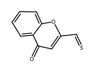 O=c1cc(C=S)oc2ccccc12